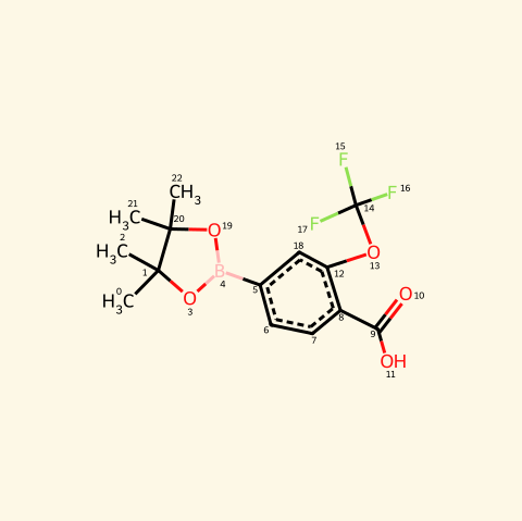 CC1(C)OB(c2ccc(C(=O)O)c(OC(F)(F)F)c2)OC1(C)C